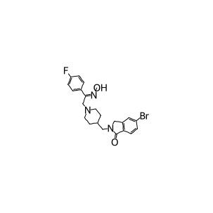 O=C1c2ccc(Br)cc2CN1CC1CCN(CC(=NO)c2ccc(F)cc2)CC1